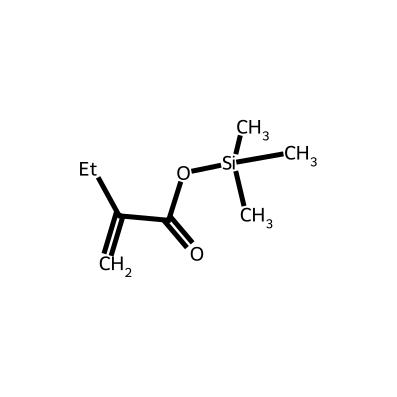 C=C(CC)C(=O)O[Si](C)(C)C